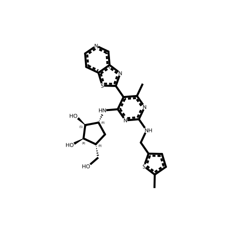 Cc1ccc(CNc2nc(C)c(-c3nc4cnccc4s3)c(N[C@@H]3C[C@H](CO)[C@@H](O)[C@H]3O)n2)s1